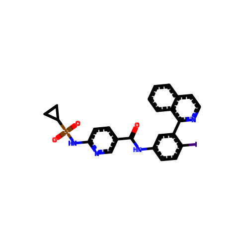 O=C(Nc1ccc(I)c(-c2nccc3ccccc23)c1)c1ccc(NS(=O)(=O)C2CC2)nc1